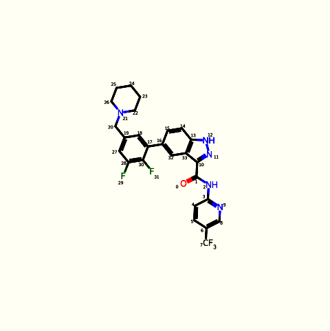 O=C(Nc1ccc(C(F)(F)F)cn1)c1n[nH]c2ccc(-c3cc(CN4CCCCC4)cc(F)c3F)cc12